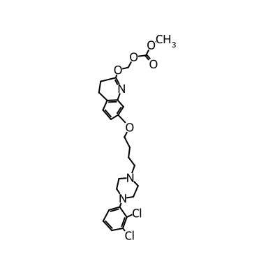 COC(=O)OCOC1=Nc2cc(OCCCCN3CCN(c4cccc(Cl)c4Cl)CC3)ccc2CC1